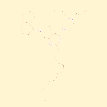 C=CC(=O)N1CCN(c2nc(OCC3CCC(CCC4CCCCC4)C3)nc3c2CCN(c2cccc4ccccc24)C3)CC1CC#N